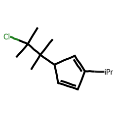 CC(C)C1=CC(C(C)(C)C(C)(C)Cl)C=C1